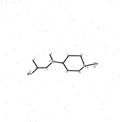 CC(C)C(C)CN(C)C1CCN(C(C)C)CC1